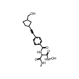 CNC(=O)C(NC(=O)c1ccc(C#CC2CCC(CO)C2)cc1)C(=O)NO